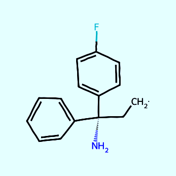 [CH2]C[C@@](N)(c1ccccc1)c1ccc(F)cc1